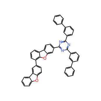 c1ccc(-c2cccc(-c3nc(-c4cccc(-c5ccccc5)c4)nc(-c4ccc5c(c4)oc4c(-c6ccc7oc8ccccc8c7c6)cccc45)n3)c2)cc1